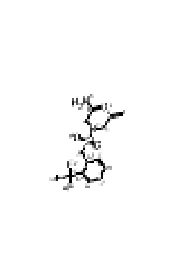 C=CCN(CC(N)=O)S(=O)(=O)Cc1ccccc1C(F)(F)F